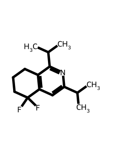 CC(C)c1cc2c(c(C(C)C)n1)CCCC2(F)F